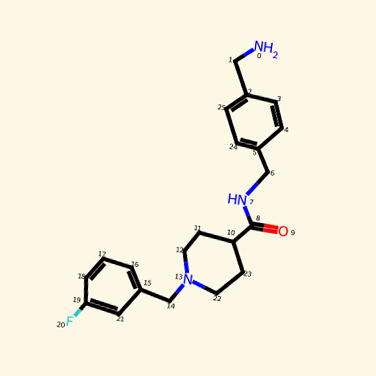 NCc1ccc(CNC(=O)C2CCN(Cc3cccc(F)c3)CC2)cc1